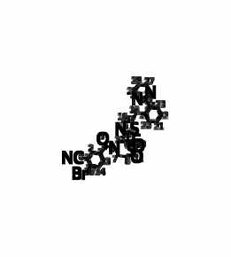 N#Cc1cc(C(=O)N2CCS(=O)(=O)[C@@](F)(c3ncc(Cc4ccccc4-c4ncccn4)s3)C2)ccc1Br